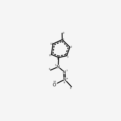 Cc1ccc(N(C)/N=[N+](/C)[O-])cc1